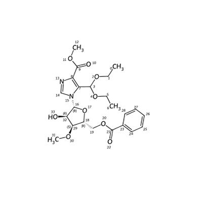 CCOC(OCC)c1c(C(=O)OC)ncn1[C@@H]1O[C@H](COC(=O)c2ccccc2)[C@@H](OC)[C@H]1O